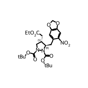 CCOC(=O)C[C@H]1CN(C(=O)OC(C)(C)C)N(C(=O)OC(C)(C)C)[C@@H]1Cc1cc2c(cc1[N+](=O)[O-])OCO2